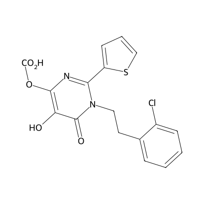 O=C(O)Oc1nc(-c2cccs2)n(CCc2ccccc2Cl)c(=O)c1O